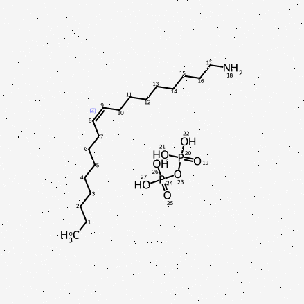 CCCCCCCC/C=C\CCCCCCCCN.O=P(O)(O)OP(=O)(O)O